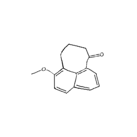 COc1ccc2cccc3c2c1CCCC3=O